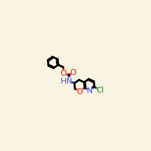 O=C(NC1COc2nc(Cl)ccc2C1)OCc1ccccc1